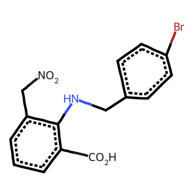 O=C(O)c1cccc(C[N+](=O)[O-])c1NCc1ccc(Br)cc1